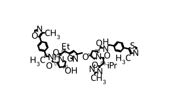 CC[C@@H](C(=O)N1C[C@H](O)C[C@H]1C(=O)N[C@@H](C)c1ccc(-c2ocnc2C)cc1)c1cc(CO[C@@H]2C[C@@H](C(=O)NCc3ccc(-c4scnc4C)cc3)N(C(=O)[C@@H](c3nc(C)no3)C(C)C)C2)no1